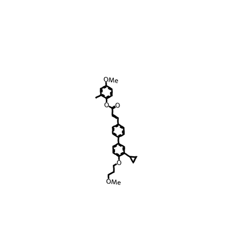 COCCCOc1ccc(-c2ccc(/C=C/C(=O)Oc3ccc(OC)cc3C)cc2)cc1C1CC1